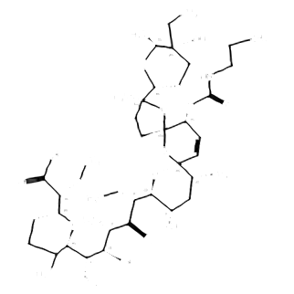 CCCNC(=O)O[C@@H]1C=C[C@]2(O[C@H]([C@@H](CC)C(=O)[C@@H](C)[C@@H](O)[C@H](C)[C@@H]3O[C@@H]([C@@H](CC)C(=O)O)CCC3C)[C@@H](C)C[C@H]2C)O[C@@]12CC[C@@](C)([C@H]1CC[C@](O)(CC)[C@H](C)O1)O2